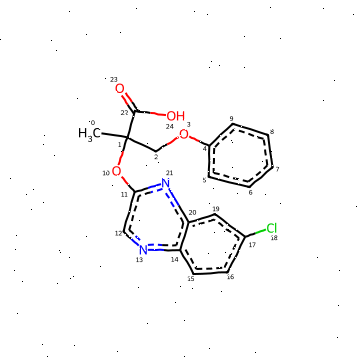 CC(COc1ccccc1)(Oc1cnc2ccc(Cl)cc2n1)C(=O)O